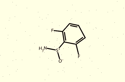 N[S+]([O-])c1c(F)cccc1F